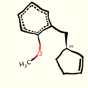 COc1ccccc1C[C@H]1C=CCC1